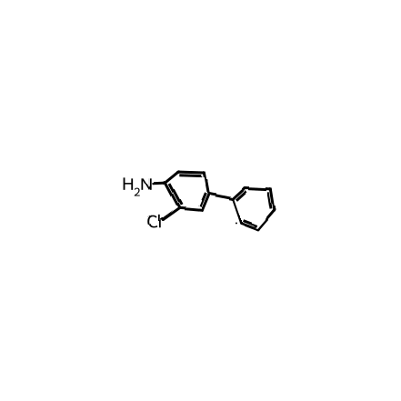 Nc1ccc(-c2[c]cccc2)cc1Cl